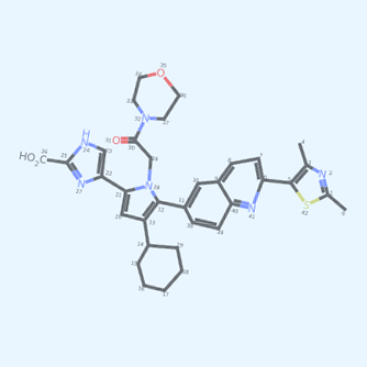 Cc1nc(C)c(-c2ccc3cc(-c4c(C5CCCCC5)cc(-c5c[nH]c(C(=O)O)n5)n4CC(=O)N4CCOCC4)ccc3n2)s1